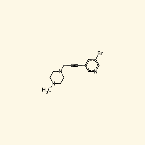 CN1CCN(CC#Cc2cncc(Br)c2)CC1